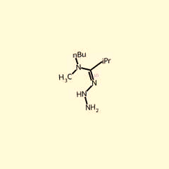 CCCCN(C)/C(=N\NN)C(C)C